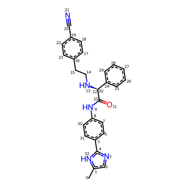 Cc1cnc(-c2ccc(NC(=O)[C@@H](NCCc3ccc(C#N)cc3)c3ccccc3)cc2)[nH]1